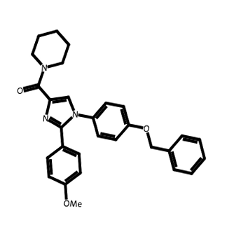 COc1ccc(-c2nc(C(=O)N3CCCCC3)cn2-c2ccc(OCc3ccccc3)cc2)cc1